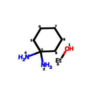 CCO.NC1(N)CCCCC1